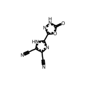 N#Cc1nc(-c2n[nH]c(=O)o2)[nH]c1C#N